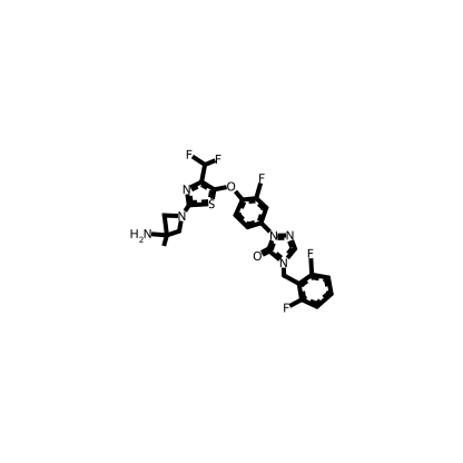 CC1(N)CN(c2nc(C(F)F)c(Oc3ccc(-n4ncn(Cc5c(F)cccc5F)c4=O)cc3F)s2)C1